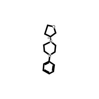 c1ccc(N2CCN([C@H]3CCOC3)CC2)cc1